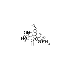 CC1(C(=O)O)C=CCC(C(=O)O)(c2cc(S(C)(=O)=O)ccc2OCC2CC2)C1